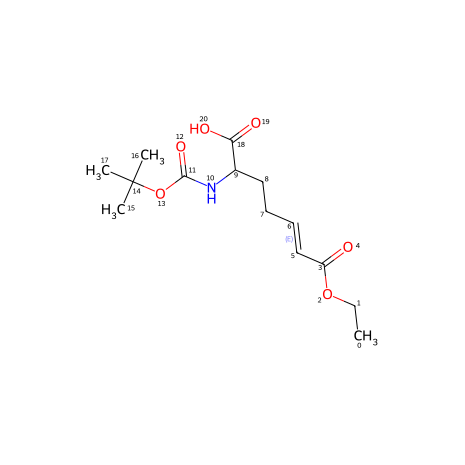 CCOC(=O)/C=C/CCC(NC(=O)OC(C)(C)C)C(=O)O